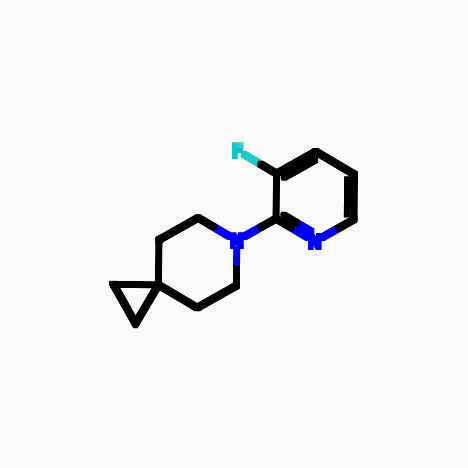 Fc1cccnc1N1CCC2(CC1)CC2